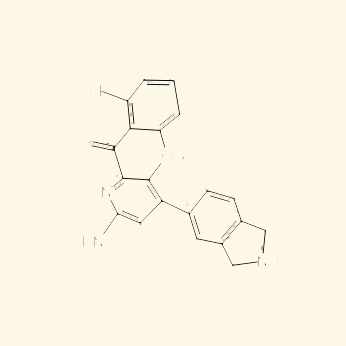 Nc1cc(-c2ccc3c(c2)CNC3)c2oc3cccc(Cl)c3c(=O)c2n1